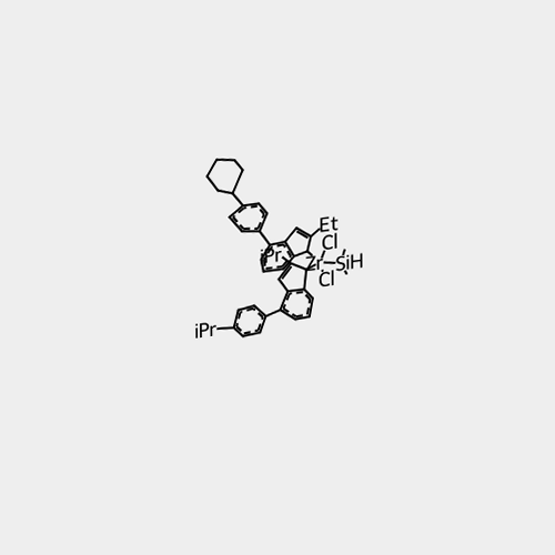 CCC1=Cc2c(-c3ccc(C4CCCCC4)cc3)cccc2[CH]1[Zr]([Cl])([Cl])([CH]1C(C(C)C)=Cc2c(-c3ccc(C(C)C)cc3)cccc21)[SiH](C)C